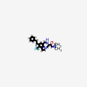 CN(C)CC(=O)C1Cn2ccc3c(C(F)(F)F)c(CCc4ccccc4)cc(c32)CN1